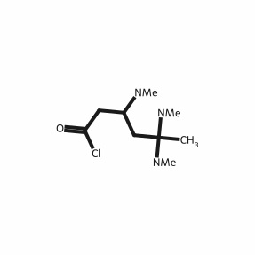 CNC(CC(=O)Cl)CC(C)(NC)NC